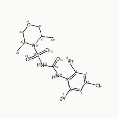 CC(C)c1cc(Cl)cc(C(C)C)c1NC(=O)NS(=O)(=O)N1C(C)COCC1C